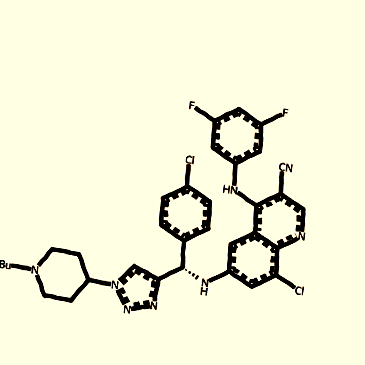 CC(C)(C)N1CCC(n2cc([C@@H](Nc3cc(Cl)c4ncc(C#N)c(Nc5cc(F)cc(F)c5)c4c3)c3ccc(Cl)cc3)nn2)CC1